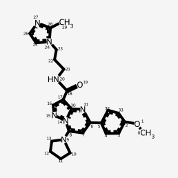 COc1ccc(-c2cc(N3CCCC3)n3ncc(C(=O)NCCCn4ccnc4C)c3n2)cc1